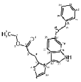 CCOC(=O)CCC1SC=CN1c1c[nH]c2cc(OCc3ccccc3)ccc12